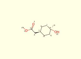 COC(=O)C[C@H]1CC[C@@](C)(O)CC1